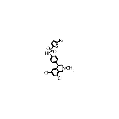 CN1Cc2c(Cl)cc(Cl)cc2C(c2ccc(NS(=O)(=O)c3ccc(Br)s3)cc2)C1